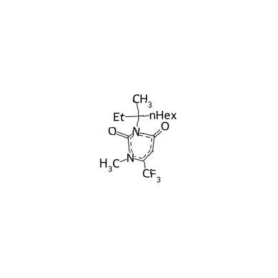 CCCCCCC(C)(CC)n1c(=O)cc(C(F)(F)F)n(C)c1=O